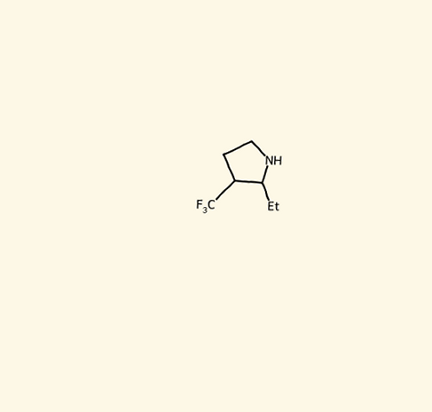 CCC1NCCC1C(F)(F)F